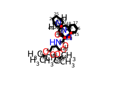 CC(C)(C)OC(=O)CC(NC(=O)c1nc2ccccc2n([C@H]2C[C@H]3CC[C@@H](C2)N3C2CCCCCCC2)c1=O)C(=O)OC(C)(C)C